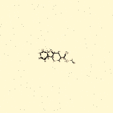 CCOC(=O)C1CCc2c(sc3ccccc23)C1